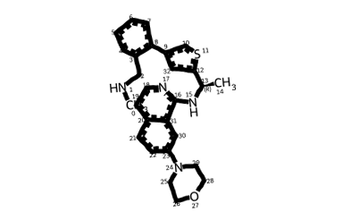 CNCc1ccccc1-c1csc([C@@H](C)Nc2nccc3ccc(N4CCOCC4)cc23)c1